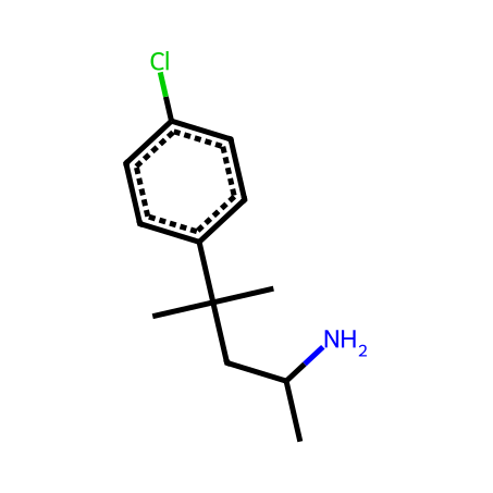 CC(N)CC(C)(C)c1ccc(Cl)cc1